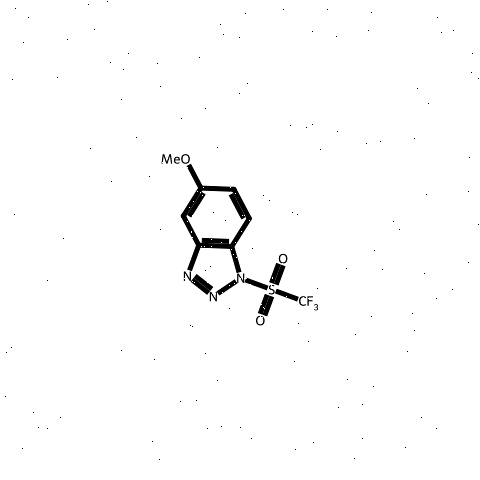 COc1ccc2c(c1)nnn2S(=O)(=O)C(F)(F)F